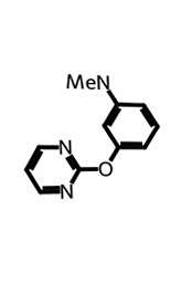 CNc1cccc(Oc2ncccn2)c1